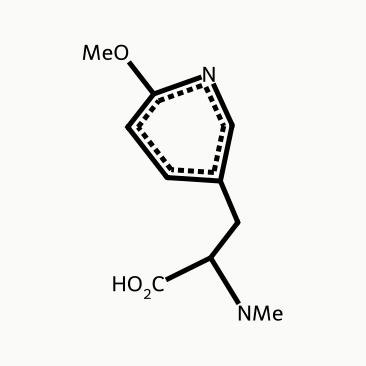 CNC(Cc1ccc(OC)nc1)C(=O)O